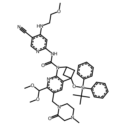 COCCNc1cc(NC(=O)N2c3nc(C(OC)OC)c(CN4CCN(C)CC4=O)cc3C3(O[Si](c4ccccc4)(c4ccccc4)C(C)(C)C)CC2C3)ncc1C#N